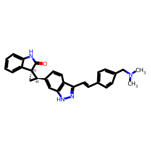 CN(C)Cc1ccc(C=Cc2n[nH]c3cc([C@H]4C[C@]45C(=O)Nc4ccccc45)ccc23)cc1